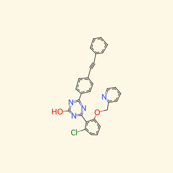 Oc1nc(-c2ccc(C#Cc3ccccc3)cc2)nc(-c2c(Cl)cccc2OCc2ccccn2)n1